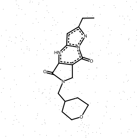 CCc1cc2[nH]c3c(c(=O)n2n1)CN(CC1CCOCC1)C3=O